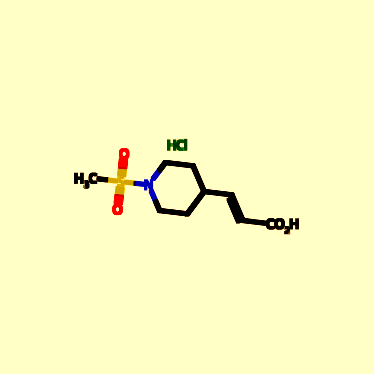 CS(=O)(=O)N1CCC(C=CC(=O)O)CC1.Cl